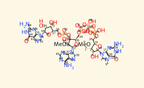 COC[C@H]1[C@@H](O)[C@H](n2c[n+](C)c3c(=O)[nH]c(N)nc32)O[C@@H]1COP(=O)(O)OP(=O)(O)OP(=O)(O)OC[C@H]1O[C@@H](n2cnc3c(N)ncnc32)[C@H](OC)[C@@H]1OP(=O)(O)OC[C@H]1O[C@@H](n2cnc3c(=O)[nH]c(N)nc32)[C@H](O)[C@@H]1O